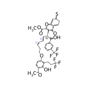 COC(=O)c1oc2c(c(=O)c1[C@H](/C=C/C=C\CCOc1ccc(C(C)=O)c(O)c1CCC(F)(F)F)[C@@H](O)c1cccc(C(F)(F)F)c1)=CCC(=S)C=2